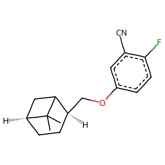 CC1(C)C2C[C@@H]1CC[C@@H]2COc1ccc(F)c(C#N)c1